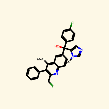 COc1c(-c2ccccc2)c(CF)nc2ccc(C(O)(c3ccc(Cl)cc3)c3cncn3C)cc12